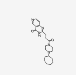 O=C(CCc1nc2ccncc2c(=O)[nH]1)N1CCN(C2CCCCCC2)CC1